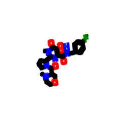 CN1CCOCC1C(=O)N1CCCC1c1nc(C(=O)NCc2ccc(F)cc2)c(O)c(=O)n1C